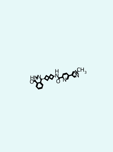 Cn1cc(-c2ccc(C(=O)N[C@H]3CC4(C3)C[C@H](c3n[nH]c(=O)c5ccccc53)C4)nc2)cn1